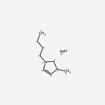 CCCCN1C=CN(C)C1.[NaH]